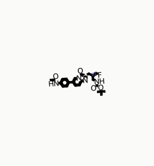 CC(=O)Nc1ccc(-c2ccc3nn(C/C(=C/F)CNC(=O)OC(C)(C)C)c(=O)n3c2)cc1